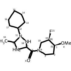 CO[C@H]1CCN(C(=O)C2NC(C)N(C3CCCCC3)N2)C[C@H]1F